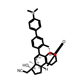 CN(C)c1ccc(-c2ccc3c(c2)C[C@]24CCC(=O)C=C2CCC2=C4[C@@H]3C[C@@]3(C)[C@H]2CC[C@@]3(O)CC#N)cc1